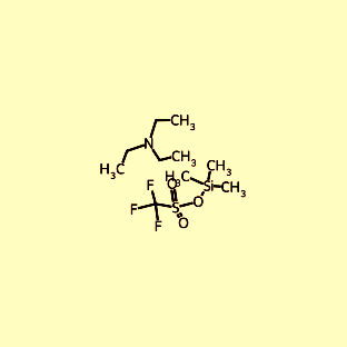 CCN(CC)CC.C[Si](C)(C)OS(=O)(=O)C(F)(F)F